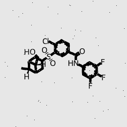 C[C@H]1C2CC(S(=O)(=O)c3cc(C(=O)Nc4cc(F)c(F)c(F)c4)ccc3Cl)CC1[C@@H]2CO